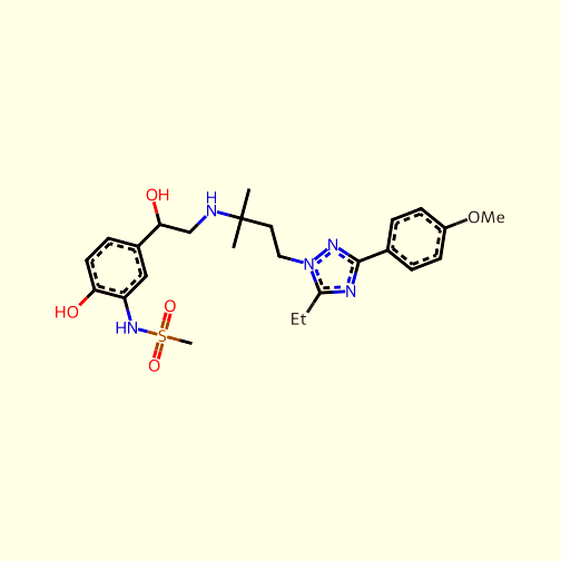 CCc1nc(-c2ccc(OC)cc2)nn1CCC(C)(C)NCC(O)c1ccc(O)c(NS(C)(=O)=O)c1